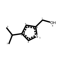 CC(C)c1csc(CO)c1